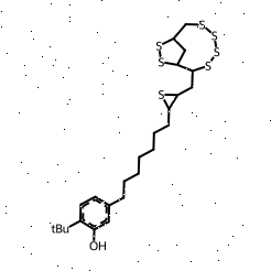 CC(C)(C)c1ccc(CCCCCCCC2SC2CC2SSSSCC3CC2SS3)cc1O